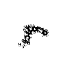 CS(=O)(=O)N1CCC(c2cc(-c3ccc4cn(Cc5ccccn5)nc4c3)c3c(N)ncnn23)CC1